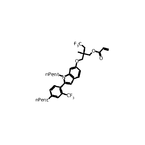 C=CC(=O)OCC(C)(COc1ccc2cc(-c3ccc(CCCCC)cc3C(F)(F)F)n(CCCCC)c2c1)CC(F)(F)F